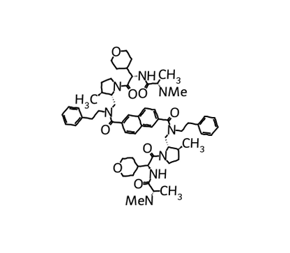 CN[C@@H](C)C(=O)N[C@H](C(=O)N1CC[C@H](C)[C@H]1CN(CCc1ccccc1)C(=O)c1ccc2cc(C(=O)N(CCc3ccccc3)C[C@@H]3[C@@H](C)CCN3C(=O)[C@@H](NC(=O)[C@H](C)NC)C3CCOCC3)ccc2c1)C1CCOCC1